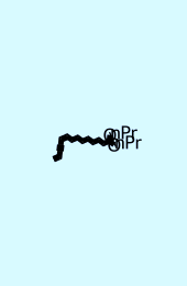 C=CC#C/C=C\CCCCCCCC(OCCC)OCCC